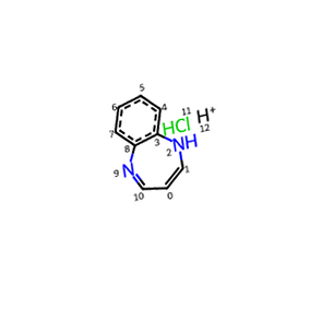 C1=CNc2ccccc2N=C1.Cl.[H+]